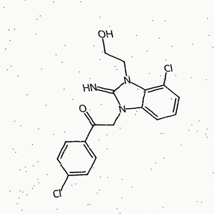 N=c1n(CC(=O)c2ccc(Cl)cc2)c2cccc(Cl)c2n1CCO